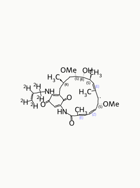 [2H]C([2H])=C([2H])C([2H])([2H])NC1=C2C[C@@H](C)C[C@H](OC)[C@H](O)[C@@H](C)/C=C(\C)[CH][C@H](OC)/C=C\C=C(/C)C(=O)NC(=CC1=O)C2=O